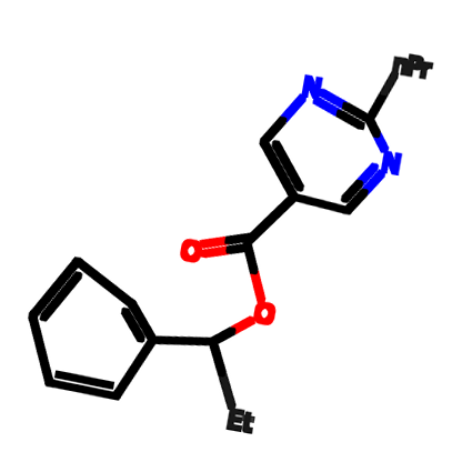 CCCc1ncc(C(=O)OC(CC)c2ccccc2)cn1